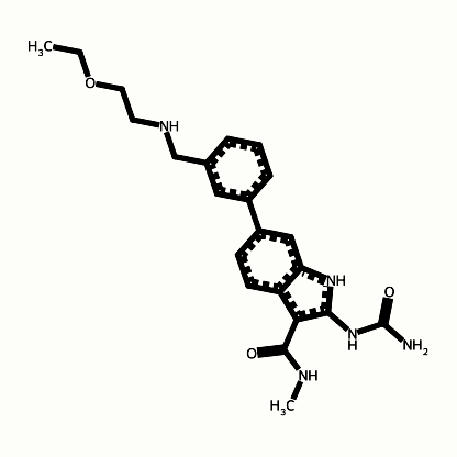 CCOCCNCc1cccc(-c2ccc3c(C(=O)NC)c(NC(N)=O)[nH]c3c2)c1